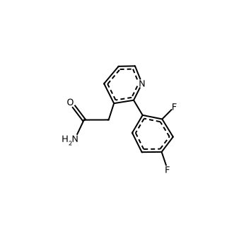 NC(=O)Cc1cccnc1-c1ccc(F)cc1F